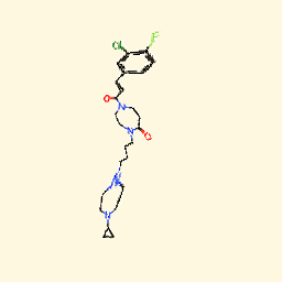 O=C(/C=C/c1ccc(F)c(Cl)c1)N1CCC(=O)N(CCCCN2CCN(C3CC3)CC2)CC1